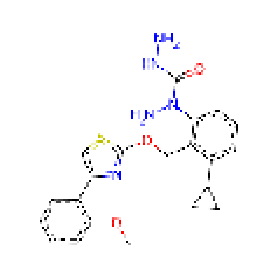 COc1ccccc1-c1csc(OCc2c(C3CC3)cccc2N(N)C(=O)NN)n1